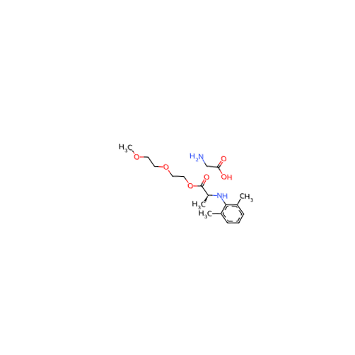 COCCOCCOC(=O)[C@H](C)Nc1c(C)cccc1C.NCC(=O)O